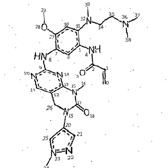 C=CC(=O)Nc1cc(Nc2ncc3c(n2)N(C)C(=O)N(c2cnn(C)c2)C3)c(OC)cc1N(C)CCN(C)C